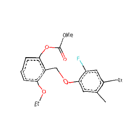 CCOc1cccc(OC(=O)OC)c1COc1cc(C)c(CC)cc1F